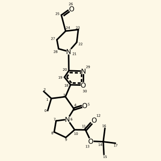 CC(C)C(C(=O)N1CCCC1C(=O)OC(C)(C)C)c1cc(N2CCC(C=O)CC2)no1